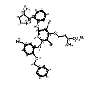 CCOC(=O)C(N)CCSc1c(F)c(Oc2cc(C#N)ccc2OCc2ccccc2)nc(Oc2ccccc2C2NCCN2C)c1F